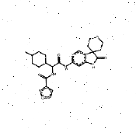 CC1CCC(C(NC(=O)c2ccon2)C(=O)Nc2cc3c(cn2)C2(CCOCC2)C(=O)N3)CC1